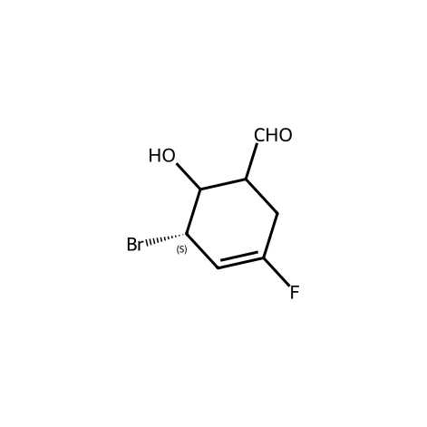 O=CC1CC(F)=C[C@H](Br)C1O